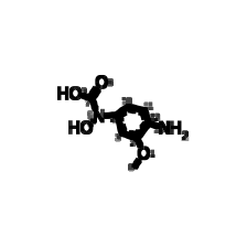 COc1cc(N(O)C(=O)O)ccc1N